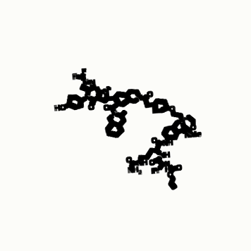 C=CCOC(=O)NC(C(=O)NC(CCCNC(N)=O)C(=O)Nc1ccc(C[N+]2(CCOc3ccc(CC(=O)N4CCc5cc(-c6cc(C(=O)N(c7ccc(O)cc7)c7cnn(C(F)F)c7)c(C)n6C)c(C(=O)N6Cc7ccccc7CC6C)cc5C4)cc3)CCOCC2)c(CNC)c1)C(C)C